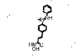 O=C(/C=C/c1ccc(NNc2ccccc2)cc1)NO